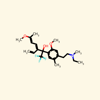 C=C/C(=C\C=C(/C)OC)C(O)(c1cc(C)c(CCN(C)CC)cc1OC)C(F)(F)F